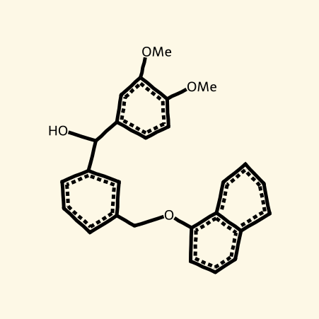 COc1ccc(C(O)c2cccc(COc3cccc4ccccc34)c2)cc1OC